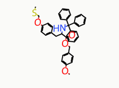 COc1ccc(COC(=O)C(Cc2ccc(OCSC)cc2)NC(c2ccccc2)(c2ccccc2)c2ccccc2)cc1